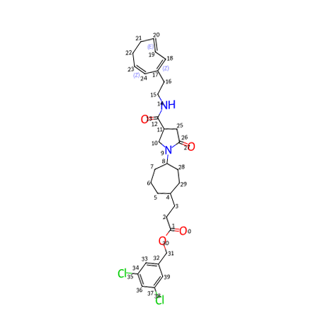 O=C(CCC1CCCC(N2CC(C(=O)NCCC3=C/C=C/CC/C=C\3)CC2=O)CC1)OCc1cc(Cl)cc(Cl)c1